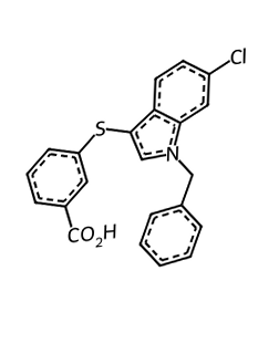 O=C(O)c1cccc(Sc2cn(Cc3ccccc3)c3cc(Cl)ccc23)c1